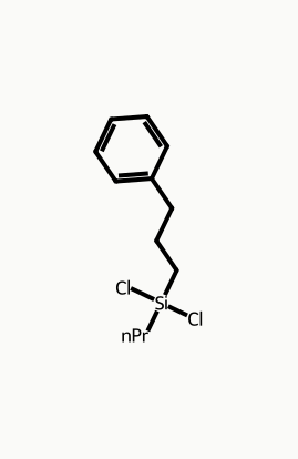 CCC[Si](Cl)(Cl)CCCc1ccccc1